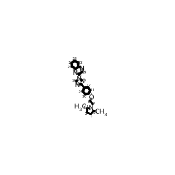 CC1CCC(C)N1CCOc1ccc(-c2ncn(-c3cnc4ccccc4n3)n2)cc1